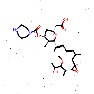 COC(C(C)O)C(C)[C@H]1O[C@]1(C)CC(C)/C=C/C=C(\C)[C@H]1O[C@@H](CC(=O)O)C[C@@H](OC(=O)N2CCCNCC2)[C@@H]1C